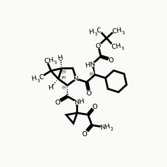 CC(C)(C)OC(=O)N[C@H](C(=O)N1C[C@H]2[C@@H]([C@H]1C(=O)NC1(C(=O)C(N)=O)CC1)C2(C)C)C1CCCCC1